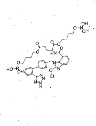 CCOc1nc2cccc(C(=O)NC(CCC(=O)OCCCCON(O)O)C(=O)OCCCCON(O)O)c2n1Cc1ccc(-c2ccccc2-c2nn[nH]n2)cc1